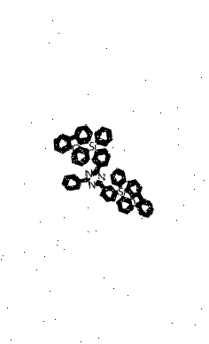 c1ccc(-c2nc(-c3cccc([Si](c4ccccc4)(c4ccccc4)c4cccc5c4oc4ccccc45)c3)nc(-c3cccc([Si](c4ccccc4)(c4ccccc4)c4cccc5c4oc4ccccc45)c3)n2)cc1